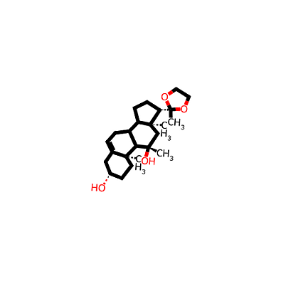 CC1([C@H]2CCC3C4CC=C5C[C@@H](O)CC[C@]5(C)C4[C@@](C)(O)C[C@@]32C)OCCO1